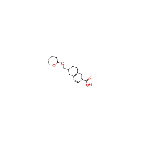 O=C(O)c1ccc2c(c1)CCC(COC1CCCCO1)C2